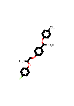 CC(COc1ccc(C(Oc2ccc(C(F)(F)F)cc2)C(=O)O)cc1)Oc1ccc(F)cc1